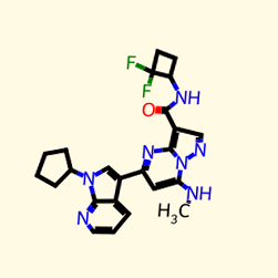 CNc1cc(-c2cn(C3CCCC3)c3ncccc23)nc2c(C(=O)NC3CCC3(F)F)cnn12